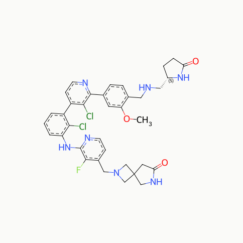 COc1cc(-c2nccc(-c3cccc(Nc4nccc(CN5CC6(CNC(=O)C6)C5)c4F)c3Cl)c2Cl)ccc1CNC[C@@H]1CCC(=O)N1